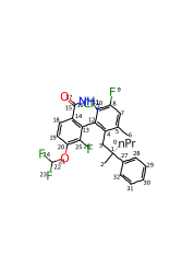 CCC[C@](C)(Cc1c(C)cc(F)c(Cl)c1-c1c(C(N)=O)ccc(OC(F)F)c1F)c1ccccc1